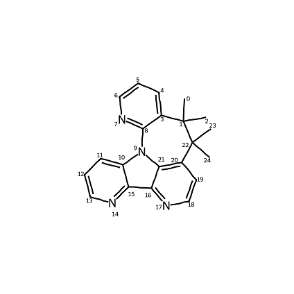 CC1(C)c2cccnc2-n2c3cccnc3c3nccc(c32)C1(C)C